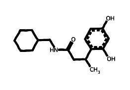 CC(CC(=O)NCC1CCCCC1)c1ccc(O)cc1O